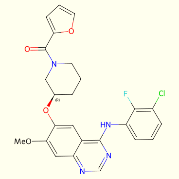 COc1cc2ncnc(Nc3cccc(Cl)c3F)c2cc1O[C@@H]1CCCN(C(=O)c2ccco2)C1